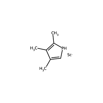 Cc1c[pH]c(C)c1C.[Sc]